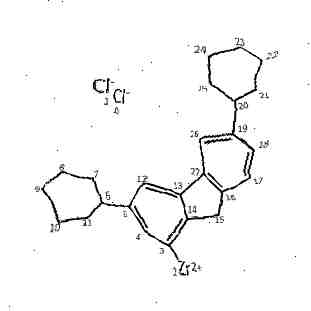 [Cl-].[Cl-].[Zr+2][c]1cc(C2CCCCC2)cc2c1Cc1ccc(C3CCCCC3)cc1-2